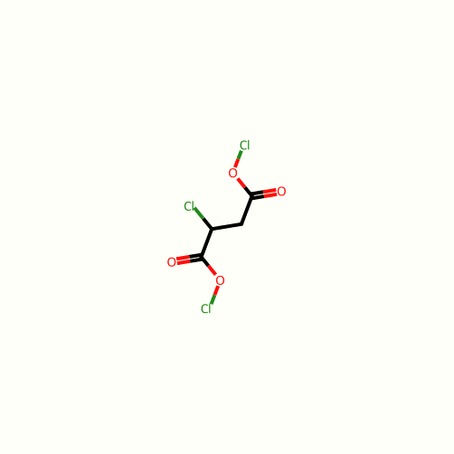 O=C(CC(Cl)C(=O)OCl)OCl